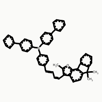 Cc1oc2c3c(ccc2c1/C=C\C=C\c1ccc(N(c2ccc(-c4ccccc4)cc2)c2ccc(-c4ccccc4)cc2)cc1)C(C)(C)c1ccccc1-3